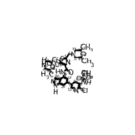 C[C@@H]1CN(Cc2nc(C(=O)Nc3cc(-c4cnc(Cl)c(NS(C)(=O)=O)c4)cc4[nH]ncc34)c(C(=O)O)s2)C[C@H](C)O1.C[C@@H]1CNC[C@H](C)O1